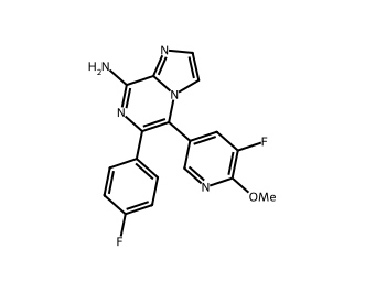 COc1ncc(-c2c(-c3ccc(F)cc3)nc(N)c3nccn23)cc1F